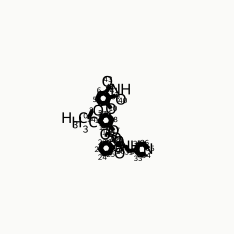 CCCOc1ccc2c(c1Oc1cc(C)cc(OS(=O)(=O)c3ccccc3S(=O)(=O)NCc3ccncc3)c1)C(=O)NC2=O